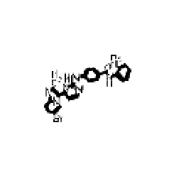 Cc1nc2ccc(Br)cn2c1-c1ccnc(Nc2ccc(C(=O)Nc3ccccc3N)cc2)n1